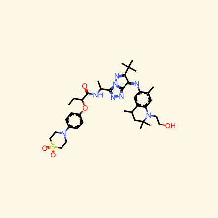 CCC(Oc1ccc(N2CCS(=O)(=O)CC2)cc1)C(=O)NC(C)c1nnc2n1N=C(C(C)(C)C)/C2=N/c1cc2c(cc1C)N(CCO)C(C)(C)CC2C